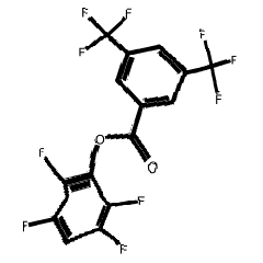 O=C(Oc1c(F)c(F)cc(F)c1F)c1cc(C(F)(F)F)cc(C(F)(F)F)c1